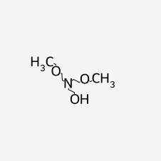 CCOCCN(CCO)CCOCC